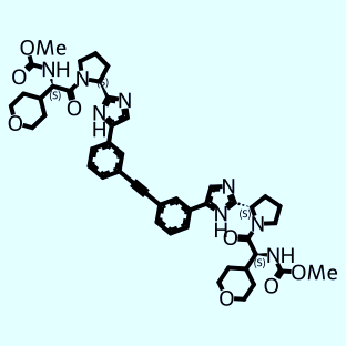 COC(=O)N[C@H](C(=O)N1CCC[C@H]1c1ncc(-c2cccc(C#Cc3cccc(-c4cnc([C@@H]5CCCN5C(=O)[C@@H](NC(=O)OC)C5CCOCC5)[nH]4)c3)c2)[nH]1)C1CCOCC1